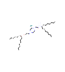 CCCCCCCC(CCCCCCC)NC(=O)CN1CCN(CCCOC(CCCCCC)CCCCCCC)C[C@@H]1C(F)(F)F